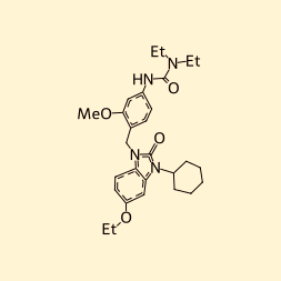 CCOc1ccc2c(c1)n(C1CCCCC1)c(=O)n2Cc1ccc(NC(=O)N(CC)CC)cc1OC